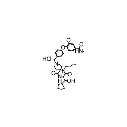 CCCCN1C(=O)[C@@H](C(O)C2CCCC2)NC(=O)C12CCN(Cc1ccc(Oc3ccc(C(=O)NC)cc3OC)cc1)CC2.Cl